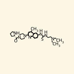 CCN(CC)CCNC(=S)Nc1ccc2nc(N3CCN(C(=O)[C@@H]4CCCN4)CC3)cc(C)c2c1